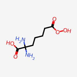 NC(N)(CCCCC(=O)OO)C(=O)O